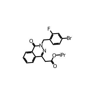 CC(C)OC(=O)Cc1nn(Cc2ccc(Br)cc2F)c(=O)c2ccccc12